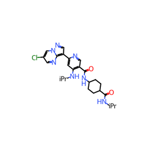 CC(C)NC(=O)C1CCC(NC(=O)c2cnc(-c3cnn4cc(Cl)cnc34)cc2NC(C)C)CC1